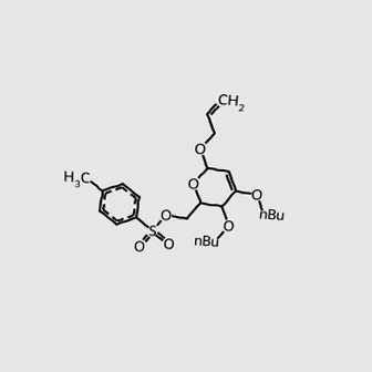 C=CCOC1C=C(OCCCC)C(OCCCC)C(COS(=O)(=O)c2ccc(C)cc2)O1